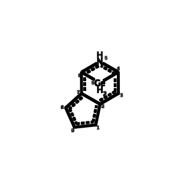 c1cc2c[c]3[nH][c](c-2c1)[GeH2]3